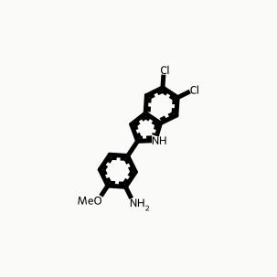 COc1ccc(-c2cc3cc(Cl)c(Cl)cc3[nH]2)cc1N